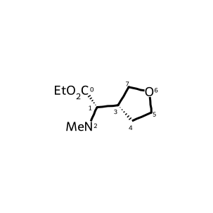 CCOC(=O)[C@@H](NC)[C@H]1CCOC1